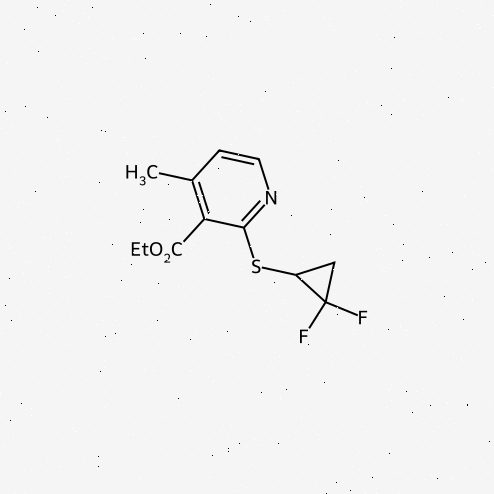 CCOC(=O)c1c(C)ccnc1SC1CC1(F)F